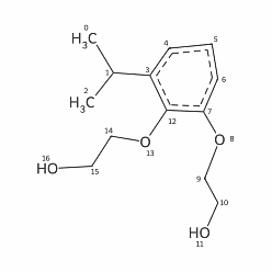 CC(C)c1cccc(OCCO)c1OCCO